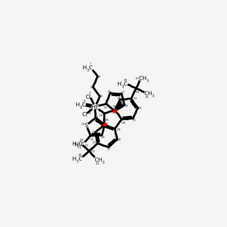 [CH2]=[Hf]([Cl])([Cl])([CH2]CCC)([c]1ccc(C)s1)([CH]1C=CC=C1)[CH]1c2cc(C(C)(C)C)ccc2-c2ccc(C(C)(C)C)cc21